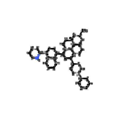 CC(C)(C)c1cc2ccc3c(-c4ccc(-c5ccccc5)cc4)cc(-c4ccc(-c5ccccn5)c5ccccc45)c4ccc(c1)c2c34